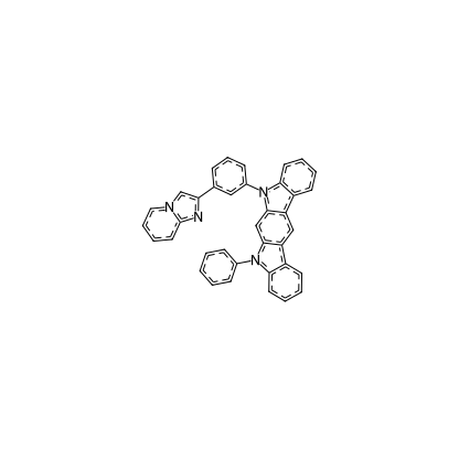 c1ccc(-n2c3ccccc3c3cc4c5ccccc5n(-c5cccc(-c6cn7ccccc7n6)c5)c4cc32)cc1